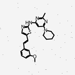 COc1cccc(/C=C/c2cnc(Nc3cc(N4CCCCC4)nc(C)n3)s2)c1